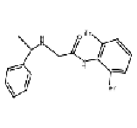 CC(C)c1cccc(C(C)C)c1NC(=O)CNC(C)c1ccccc1